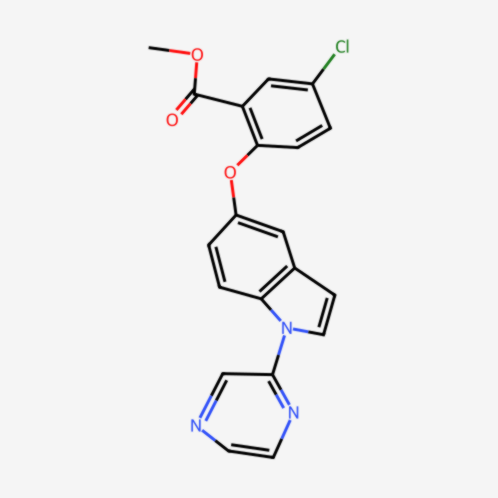 COC(=O)c1cc(Cl)ccc1Oc1ccc2c(ccn2-c2cnccn2)c1